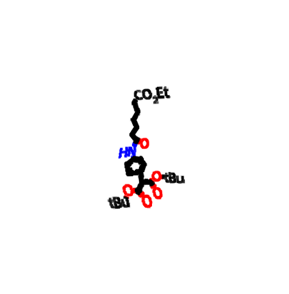 CCOC(=O)CCCCCC(=O)Nc1ccc(C(C(=O)OC(C)(C)C)C(=O)OC(C)(C)C)cc1